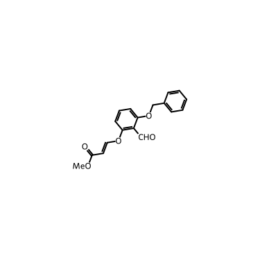 COC(=O)/C=C/Oc1cccc(OCc2ccccc2)c1C=O